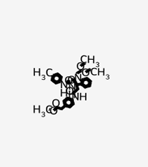 CCOC(CN1C(=O)C(CC(=O)Nc2ccc(CC(=O)OC)cc2)(NC(=O)Nc2ccc(C)cc2)c2ccccc21)OCC